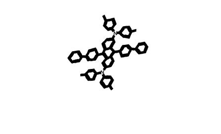 Cc1ccc(N(c2ccc(C)cc2)c2ccc3c(-c4ccc(-c5ccccc5)cc4)c4cc(N(c5ccc(C)cc5)c5ccc(C)cc5)ccc4c(-c4ccc(-c5ccccc5)cc4)c3c2)cc1